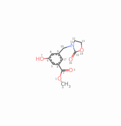 COC(=O)c1cc(O)cc(CN2CCOC2=O)c1